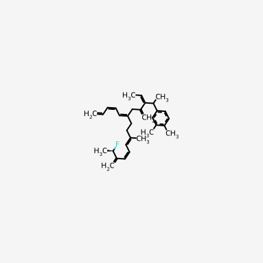 C=C/C=C\C=C(\CC/C(C)=C/C=C\C(=C)[C@@H](C)F)CC(=C)/C(=C\C)C(C)c1ccc(C)c(C)c1